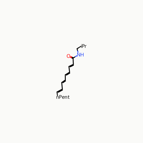 CCCCCC=CC=CC=CC=CC(=O)NCC(C)C